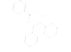 O=C(O[C@@H](C1CCCCC1)[C@H](O)C1CCCCC1)c1ccccc1